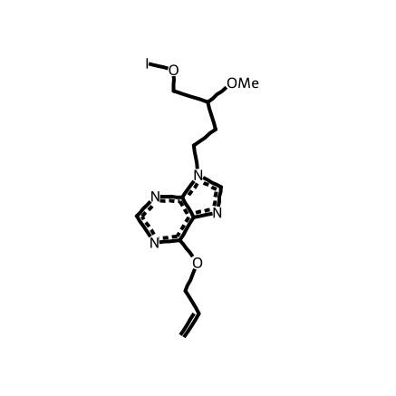 C=CCOc1ncnc2c1ncn2CCC(COI)OC